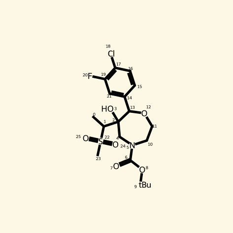 CC(C1(O)CN(C(=O)OC(C)(C)C)CCOC1c1ccc(Cl)c(F)c1)S(C)(=O)=O